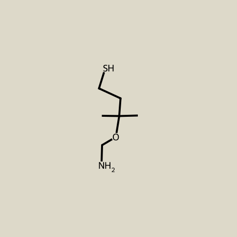 CC(C)(CCS)OCN